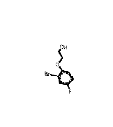 OCCOc1ccc(F)cc1Br